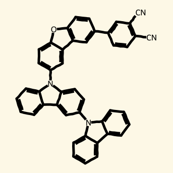 N#Cc1ccc(-c2ccc3oc4ccc(-n5c6ccccc6c6cc(-n7c8ccccc8c8ccccc87)ccc65)cc4c3c2)cc1C#N